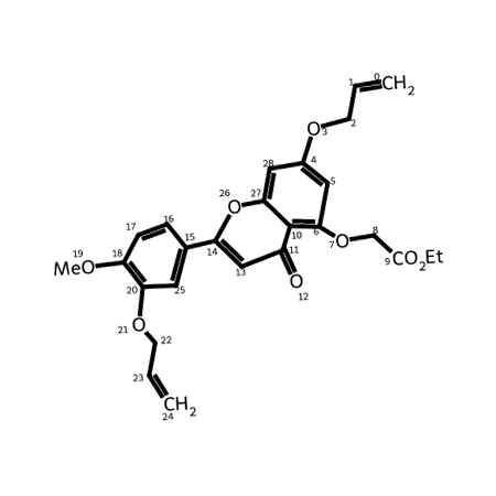 C=CCOc1cc(OCC(=O)OCC)c2c(=O)cc(-c3ccc(OC)c(OCC=C)c3)oc2c1